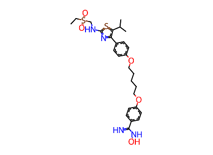 CCS(=O)(=O)CNc1nc(-c2ccc(OCCCCCOc3ccc(C(=N)NO)cc3)cc2)c(C(C)C)s1